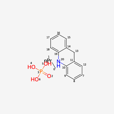 CCCC.O=P(O)(O)O.c1ccc2c(c1)Cc1ccccc1N2